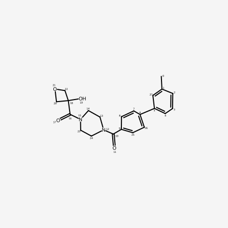 Cc1cccc(-c2ccc(C(=O)N3CCN(C(=O)C4(O)COC4)CC3)cc2)c1